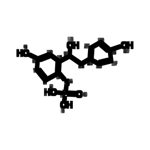 O=P(O)(O)Sc1ccc(O)cc1C(O)Cc1ccc(O)cc1